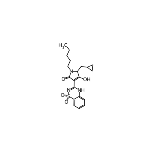 CCCCCN1C(=O)C(C2=NS(=O)(=O)c3ccccc3N2)=C(O)C1CC1CC1